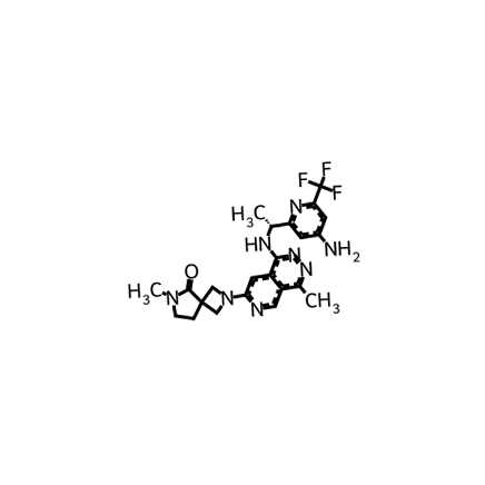 Cc1nnc(N[C@H](C)c2cc(N)cc(C(F)(F)F)n2)c2cc(N3CC4(CCN(C)C4=O)C3)ncc12